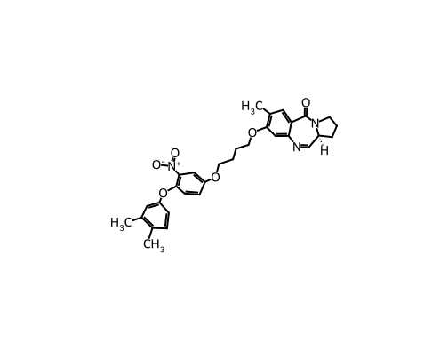 Cc1ccc(Oc2ccc(OCCCCOc3cc4c(cc3C)C(=O)N3CCC[C@H]3C=N4)cc2[N+](=O)[O-])cc1C